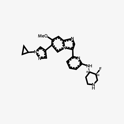 COc1cc2ncc(-c3cccc(N[C@H]4CCNC[C@@H]4F)n3)n2cc1-c1cnn(C2CC2)c1